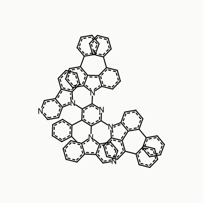 Cc1ccccc1-c1c(-n2c3ccccc3c3cnccc32)c(-n2c3cccc(-c4ccccc4)c3c3c(-c4ccccc4)cccc32)nc(-n2c3cccc(-c4ccccc4)c3c3c(-c4ccccc4)cccc32)c1-n1c2ccccc2c2cnccc21